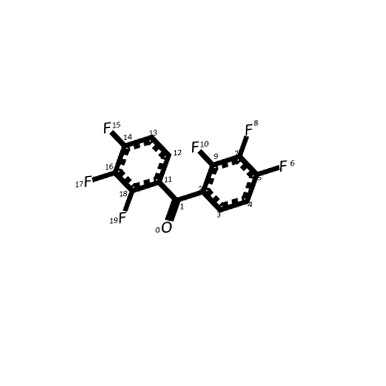 O=C(c1ccc(F)c(F)c1F)c1ccc(F)c(F)c1F